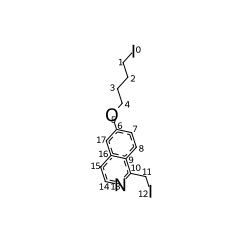 ICCCCOc1ccc2c(CI)nccc2c1